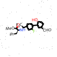 COC(=O)[C@H](CC(C)C)NC(c1ccc(-c2cc(C=O)ccc2O)c(F)c1)C(F)(F)F